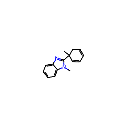 Cn1c(C2(C)C=CC=CC2)nc2ccccc21